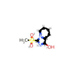 CS(=O)(=O)c1nc(O)c2ccccn12